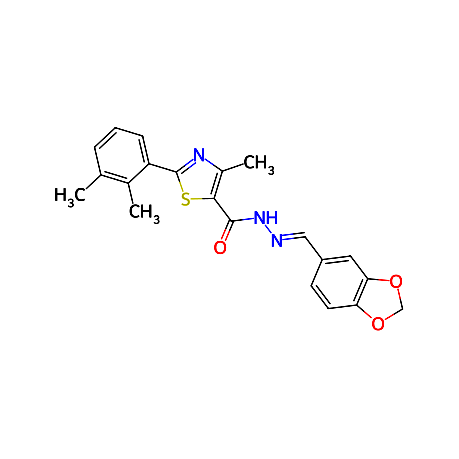 Cc1cccc(-c2nc(C)c(C(=O)N/N=C/c3ccc4c(c3)OCO4)s2)c1C